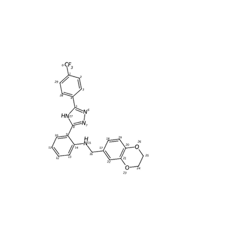 FC(F)(F)c1ccc(-c2nnc(-c3ccccc3NCc3ccc4c(c3)OCCO4)[nH]2)cc1